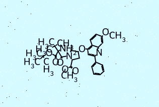 COC(=O)C1CC(Oc2cc(-c3ccccc3)nc3cc(OC)ccc23)CN1C(=O)C(N)(C(=O)OC(C)(C)C)C(C)(C)C